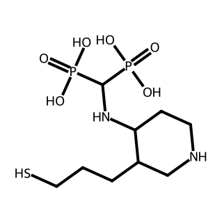 O=P(O)(O)C(NC1CCNCC1CCCS)P(=O)(O)O